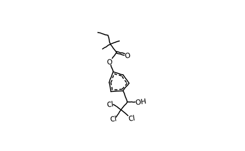 CCC(C)(C)C(=O)Oc1ccc(C(O)C(Cl)(Cl)Cl)cc1